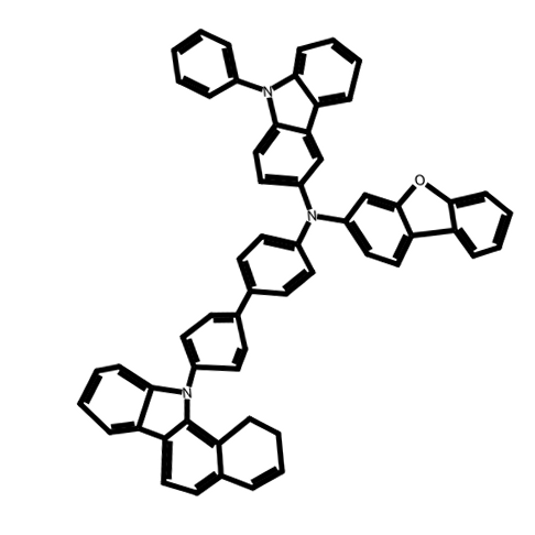 C1=Cc2ccc3c4ccccc4n(-c4ccc(-c5ccc(N(c6ccc7c(c6)oc6ccccc67)c6ccc7c(c6)c6ccccc6n7-c6ccccc6)cc5)cc4)c3c2CC1